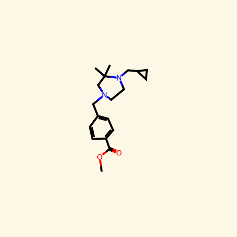 COC(=O)c1ccc(CN2CCN(CC3CC3)C(C)(C)C2)cc1